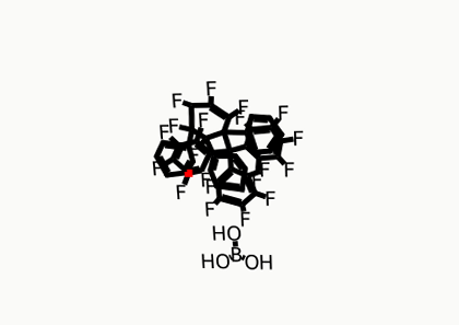 FC1=C(F)C(c2ccccc2)(C(c2c(F)c(F)c(F)c(F)c2F)(c2c(F)c(F)c(F)c(F)c2F)c2c(F)c(F)c(F)c(F)c2F)C(F)(c2ccccc2)C(F)(c2ccccc2)C1F.OB(O)O